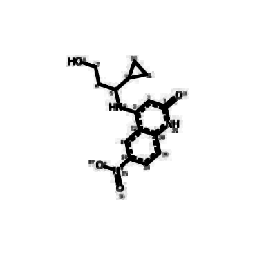 O=c1cc(NC(CCO)C2CC2)c2cc([N+](=O)[O-])ccc2[nH]1